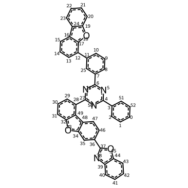 c1ccc(-c2nc(-c3cccc(-c4cccc5c4oc4ccccc45)c3)nc(-c3cccc4oc5cc(-c6nc7ccccc7o6)ccc5c34)n2)cc1